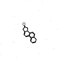 O=C1CC2=CC=c3c(ccc4c3=CC=CC4)C2C1